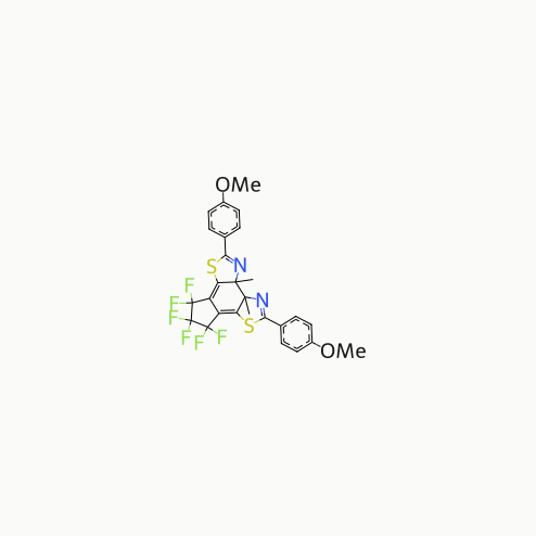 COc1ccc(C2=NC3(C)C(=C4C(=C5SC(c6ccc(OC)cc6)=NC53C)C(F)(F)C(F)(F)C4(F)F)S2)cc1